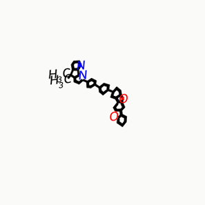 CC1(C)c2cccnc2-c2nc(-c3ccc(-c4ccc(-c5ccc6oc7cc8c(cc7c6c5)oc5ccccc58)cc4)cc3)ccc21